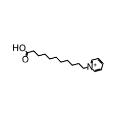 O=C(O)CCCCCCCCCC[n+]1ccccc1